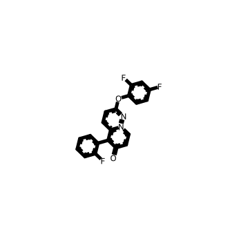 O=c1ccn2nc(Oc3ccc(F)cc3F)ccc2c1-c1ccccc1F